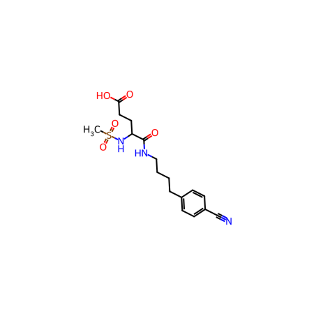 CS(=O)(=O)NC(CCC(=O)O)C(=O)NCCCCc1ccc(C#N)cc1